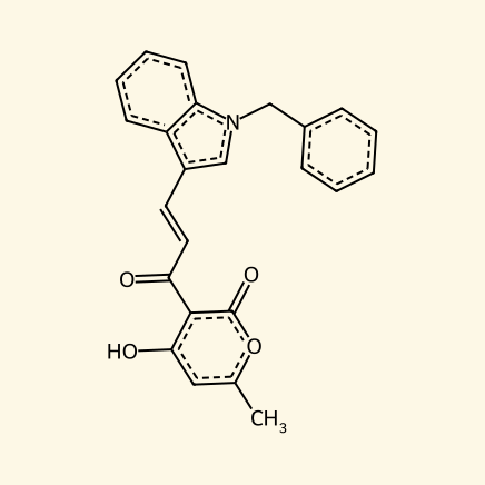 Cc1cc(O)c(C(=O)/C=C/c2cn(Cc3ccccc3)c3ccccc23)c(=O)o1